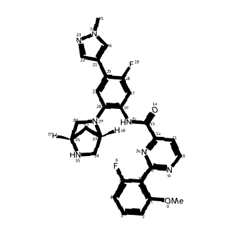 COc1cccc(F)c1-c1nccc(C(=O)Nc2cc(F)c(-c3cnn(C)c3)cc2N2C[C@@H]3C[C@H]2CN3)n1